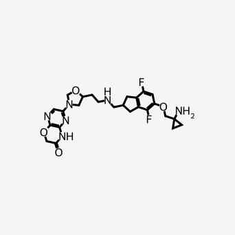 NC1(COc2cc(F)c3c(c2F)CC(CNCCC2CN(c4cnc5c(n4)NC(=O)CO5)CO2)C3)CC1